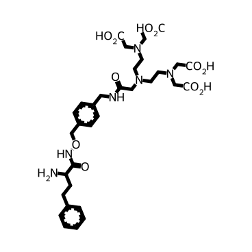 NC(CCc1ccccc1)C(=O)NOCc1ccc(CNC(=O)CN(CCN(CC(=O)O)CC(=O)O)CCN(CC(=O)O)CC(=O)O)cc1